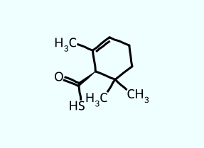 CC1=CCCC(C)(C)[C@H]1C(=O)S